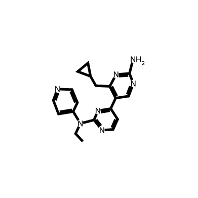 CCN(c1ccncc1)c1nccc(-c2cnc(N)nc2CC2CC2)n1